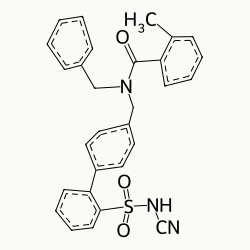 Cc1ccccc1C(=O)N(Cc1ccccc1)Cc1ccc(-c2ccccc2S(=O)(=O)NC#N)cc1